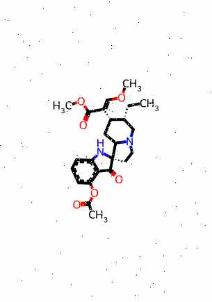 CC[C@@H]1CN2CC[C@]3(Nc4cccc(OC(C)=O)c4C3=O)C2C[C@@H]1/C(=C\OC)C(=O)OC